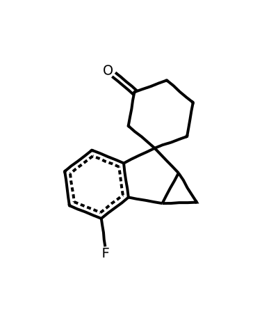 O=C1CCCC2(C1)c1cccc(F)c1C1CC12